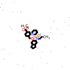 COC(=O)c1ccc(COc2cc3c(cc2N(C[C@@H](C)F)S(=O)(=O)c2ccccn2)CCC3)cc1